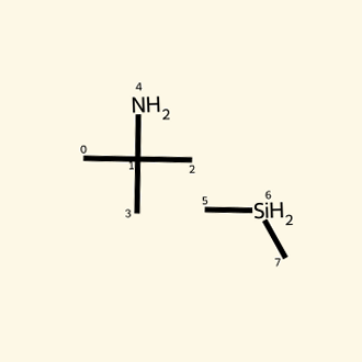 CC(C)(C)N.C[SiH2]C